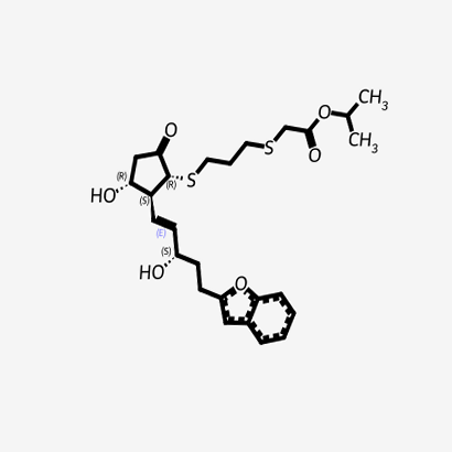 CC(C)OC(=O)CSCCCS[C@H]1C(=O)C[C@@H](O)[C@@H]1/C=C/[C@@H](O)CCc1cc2ccccc2o1